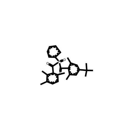 Cc1ccc(C)c(C(=O)P(=O)(C(=O)c2c(C)cc(C(C)(C)C)cc2C)c2ccccc2)c1C